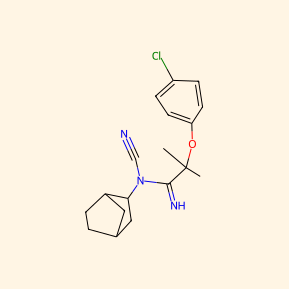 CC(C)(Oc1ccc(Cl)cc1)C(=N)N(C#N)C1CC2CCC1C2